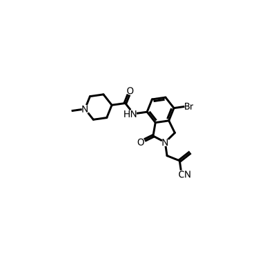 C=C(C#N)CN1Cc2c(Br)ccc(NC(=O)C3CCN(C)CC3)c2C1=O